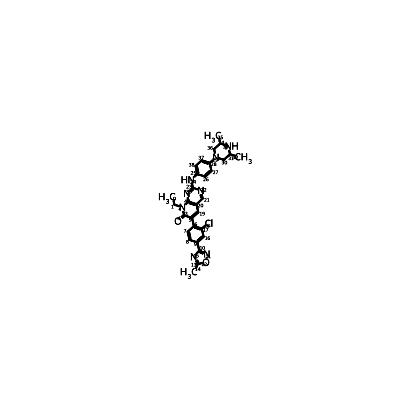 CCn1c(=O)c(-c2ccc(-c3noc(C)n3)cc2Cl)cc2cnc(Nc3ccc(N4CC(C)NC(C)C4)cc3)nc21